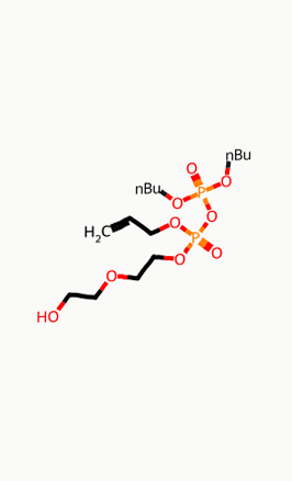 C=CCOP(=O)(OCCOCCO)OP(=O)(OCCCC)OCCCC